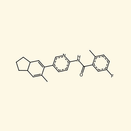 CC1=CC2CCCC2C=C1c1ccc(NC(=O)c2cc(F)ccc2C)nc1